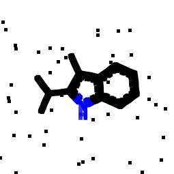 Cc1c(C(C)C)[nH]c2ccccc12